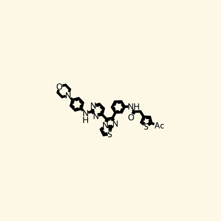 CC(=O)c1cc(CC(=O)Nc2cccc(-c3nc4sccn4c3-c3ccnc(Nc4ccc(N5CCOCC5)cc4)n3)c2)cs1